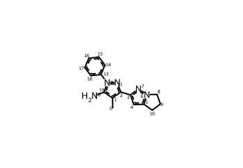 Cc1c(-c2cc3n(n2)CCC3)nn(-c2ccccc2)c1N